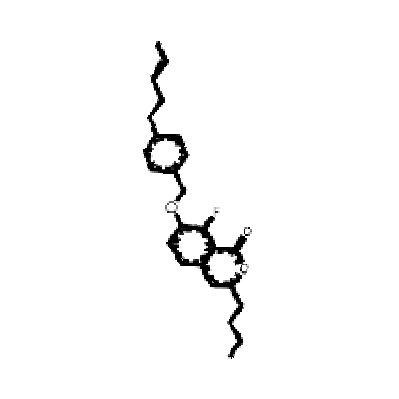 C/C=C/CCc1ccc(COc2ccc3cc(CCCC)oc(=O)c3c2F)cc1